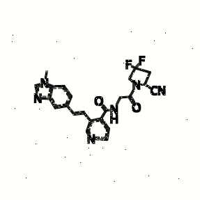 Cn1cnc2cc(/C=C/c3cnccc3C(=O)NCC(=O)N3CC(F)(F)CC3C#N)ccc21